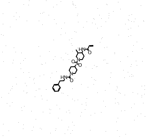 C=CC(=O)NC1CCN(S(=O)(=O)C2CCN(C(=O)NCCc3ccccc3)CC2)CC1C